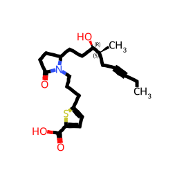 CCC#CC[C@H](C)[C@H](O)CCC1CCC(=O)N1CCCc1ccc(C(=O)O)s1